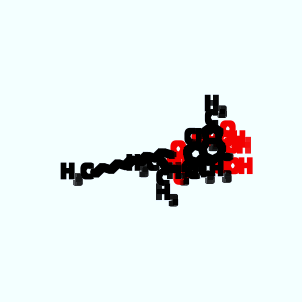 CCCCC/C=C/C=C/C=C/C(=O)OC1C(C)C2(O)C3C=C(C)C(=O)C3(O)C(O)C3(CO)OC3C2C(C)(C)C1(C)OC(=O)C(C)CC